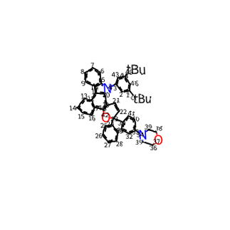 CC(C)(C)c1cc(-n2c3ccccc3c3c4ccccc4c4c(c32)C=CC(c2ccccc2)(c2ccc(N3CCOCC3)cc2)O4)cc(C(C)(C)C)c1